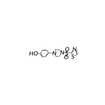 O=S(=O)(c1nccs1)N1CCN(c2ccc(O)cc2)CC1